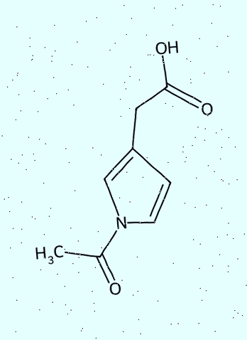 CC(=O)n1ccc(CC(=O)O)c1